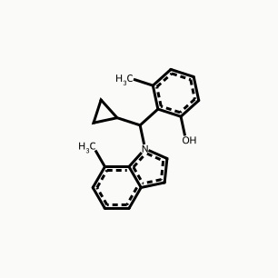 Cc1cccc(O)c1C(C1CC1)n1ccc2cccc(C)c21